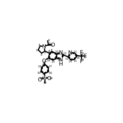 CC(=O)N1CCCC1c1cc2nc(-c3ccc(C(F)(F)F)cn3)[nH]c2cc1Oc1ccc(S(C)(=O)=O)cc1